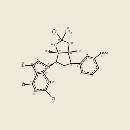 COc1cccc([C@H]2C[C@@H](n3cc(Br)c4c(Cl)nc(Cl)nc43)[C@@H]3OC(C)(C)O[C@@H]32)c1